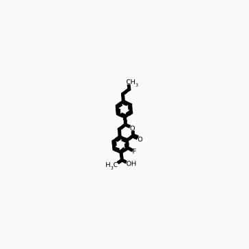 CCCc1ccc(C2Cc3ccc(C(C)O)c(F)c3C(=O)O2)cc1